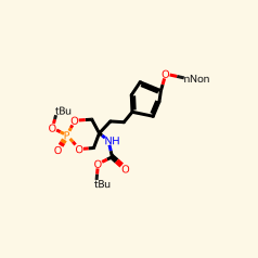 CCCCCCCCCOc1ccc(CCC2(NC(=O)OC(C)(C)C)COP(=O)(OC(C)(C)C)OC2)cc1